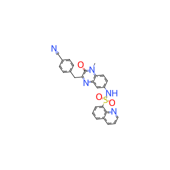 Cn1c(=O)c(Cc2ccc(C#N)cc2)nc2cc(NS(=O)(=O)c3cccc4cccnc34)ccc21